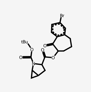 CC(C)(C)OC(=O)N1C(C(=O)OC2CCCc3cc(Br)ccc3C2=O)CC2CC21